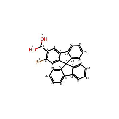 OB(O)c1cc2c(cc1Br)C1(c3ccccc3-c3ccccc31)c1ccccc1-2